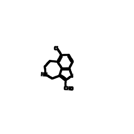 O=Cc1sc2ccc(Cl)c3c2c1CNCC3